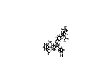 COc1ncnc(C2CC2)c1-c1ncc2c(-c3cc[nH]n3)nn(Cc3ccc(-c4nc(C(F)(F)F)cn4C(C)C)cc3)c2n1